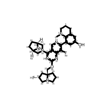 CN1CCCc2cc(O)cc(-c3ncc4c(N5C[C@H]6CC[C@@H](C5)N6)nc(OC[C@@]56CCCN5C[C@H](F)C6)nc4c3F)c21